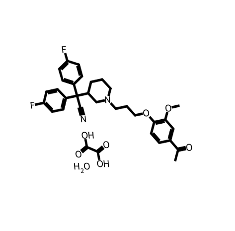 COc1cc(C(C)=O)ccc1OCCCN1CCCC(C(C#N)(c2ccc(F)cc2)c2ccc(F)cc2)C1.O.O=C(O)C(=O)O